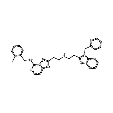 Fc1cccnc1CNc1nccc2oc(CCNCCc3nc4ccccc4n3Cc3ccccn3)nc12